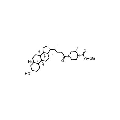 C[C@H](CCC(=O)N1CCN(C(=O)OC(C)(C)C)[C@@H](C)C1)[C@H]1CC[C@H]2[C@@H]3CC[C@H]4C[C@@H](O)CC[C@]4(C)[C@H]3CC[C@]12C